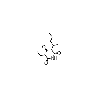 CCCC(C)C1C(=O)NC(=O)N(CC)C1=O